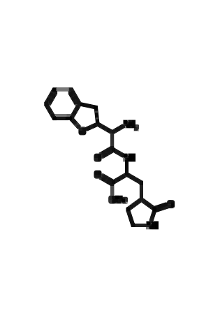 COC(=O)C(CC1CCNC1=O)NC(=O)C(N)C1Cc2ccccc2O1